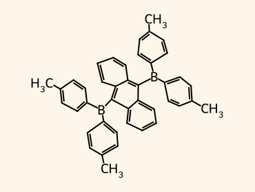 Cc1ccc(B(c2ccc(C)cc2)c2c3ccccc3c(B(c3ccc(C)cc3)c3ccc(C)cc3)c3ccccc23)cc1